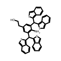 Nc1c(C(c2scc3ccccc23)c2scc3ccccc23)cc(CCO)cc1C(c1scc2ccccc12)c1scc2ccccc12